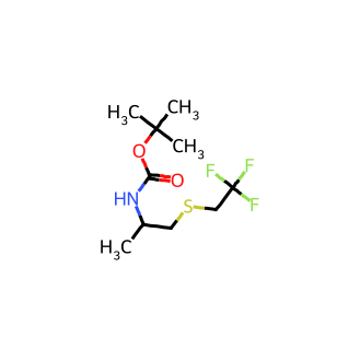 CC(CSCC(F)(F)F)NC(=O)OC(C)(C)C